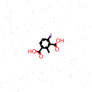 Cc1c(C(=O)O)ccc(I)c1C(=O)O